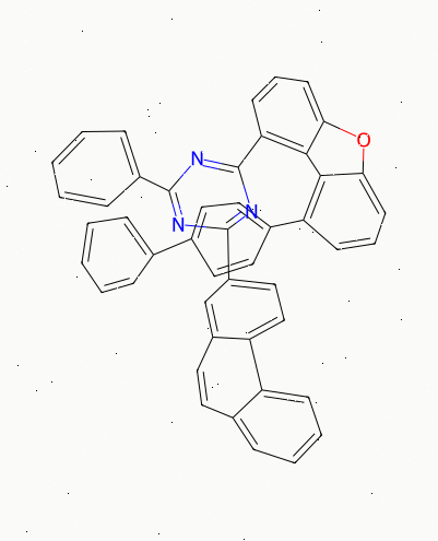 c1ccc(-c2ccc(-c3cccc4oc5cccc(-c6nc(-c7ccccc7)nc(-c7ccc8c(ccc9ccccc98)c7)n6)c5c34)cc2)cc1